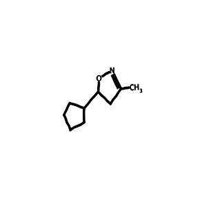 CC1=NOC(C2CCCC2)C1